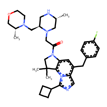 C[C@@H]1CN(CC(=O)N2CC(C)(C)c3c2cc(Cc2ccc(F)cc2)c2cnc(C4CCC4)n32)[C@@H](CN2CCOC[C@H]2C)CN1